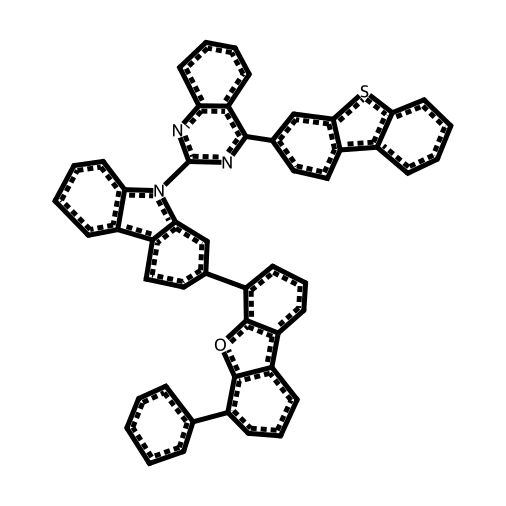 c1ccc(-c2cccc3c2oc2c(-c4ccc5c6ccccc6n(-c6nc(-c7ccc8c(c7)sc7ccccc78)c7ccccc7n6)c5c4)cccc23)cc1